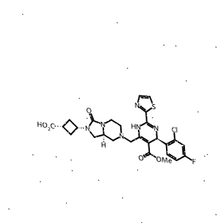 COC(=O)C1=C(CN2CCN3C(=O)N([C@H]4C[C@@H](C(=O)O)C4)C[C@@H]3C2)NC(c2nccs2)=N[C@H]1c1ccc(F)cc1Cl